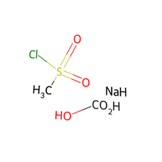 CS(=O)(=O)Cl.O=C(O)O.[NaH]